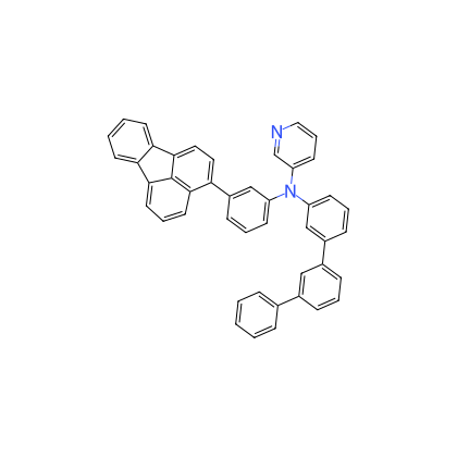 c1ccc(-c2cccc(-c3cccc(N(c4cccnc4)c4cccc(-c5ccc6c7c(cccc57)-c5ccccc5-6)c4)c3)c2)cc1